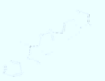 Cc1c(NS(=O)(=O)c2ccc3nc(S)[nH]c3c2)c(=O)n(-c2ccccc2)n1C